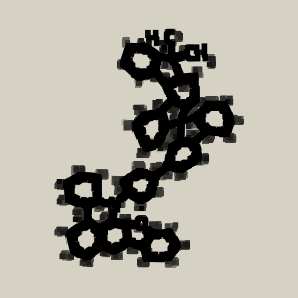 CC1(C)c2ccccc2-c2c1ccc1c2-c2ccccc2C12c1ccccc1-c1ccc(-c3ccc(N(c4ccccc4-c4ccccc4)c4cccc5c4oc4ccccc45)cc3)cc12